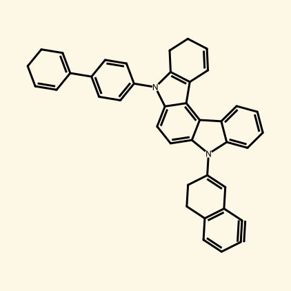 c1ccc2c(c#1)C=C(n1c3ccccc3c3c4c5c(n(-c6ccc(C7=CCCC=C7)cc6)c4ccc31)CCC=C5)CC2